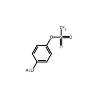 CC(=O)Oc1ccc(OS(=O)(=O)C(F)(F)F)cc1